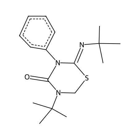 CC(C)(C)N=C1SCN(C(C)(C)C)C(=O)N1c1ccccc1